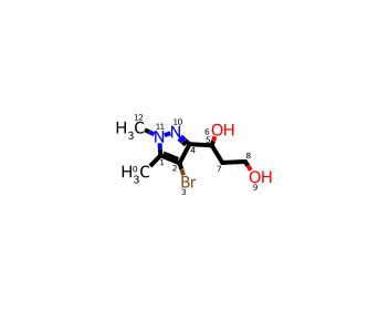 Cc1c(Br)c(C(O)CCO)nn1C